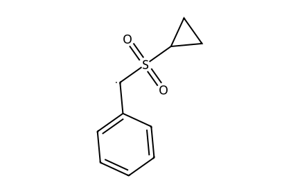 O=S(=O)([CH]c1ccccc1)C1CC1